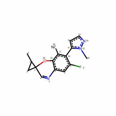 CC1CC12C=Nc1cc(F)c(-c3ccnn3C)c(C#N)c1O2